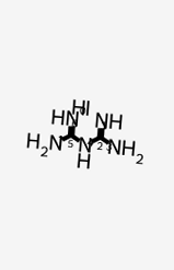 I.N=C(N)NC(=N)N